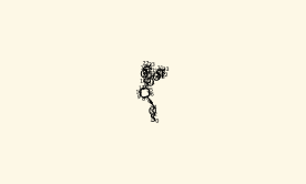 CSCOCC#CC1=C/C=C\C=C(C2CC(O[Si](C)(C)C(C)(C)C)C(CO[Si](C)(C)C(C)(C)C)O2)/C=C\1